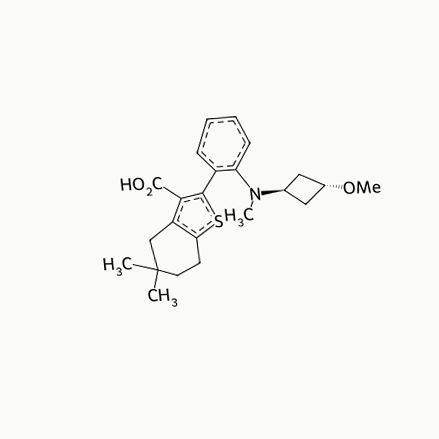 CO[C@H]1C[C@H](N(C)c2ccccc2-c2sc3c(c2C(=O)O)CC(C)(C)CC3)C1